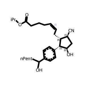 CCCCCC(O)c1ccc([C@@H]2[C@H](C/C=C\CCCC(=O)OC(C)C)[C@@H](C#N)C[C@H]2O)cc1